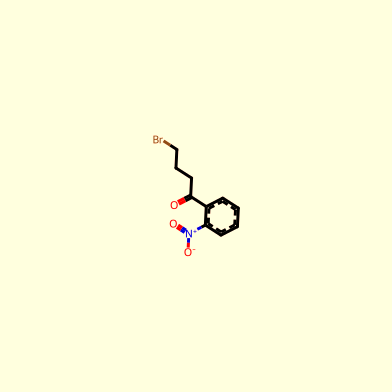 O=C(CCCBr)c1ccccc1[N+](=O)[O-]